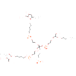 COCCCOCC(CO)COCCCOP(=O)(O)OCC(COCCCO[PH](=O)O)(COCCCOP(=O)(O)OCCCCCCOC1OC(CO)C(O)C(O)C1NC(C)=O)COCCCOP(=O)(O)OCCCCCCOC(OC(CO)[C@@H](C)O)[C@H](O)NC(C)=O